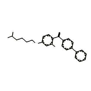 CCC(CCCCOc1ccc(C(=S)c2ccc(-c3ccccc3)cc2)c(O)c1)C(=O)O